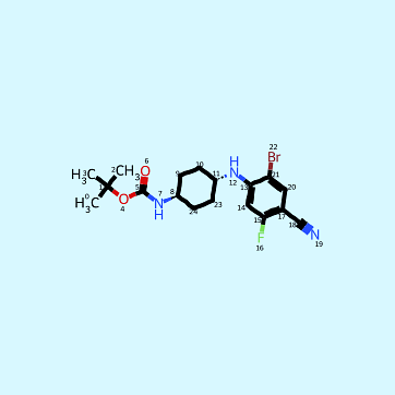 CC(C)(C)OC(=O)N[C@H]1CC[C@H](Nc2cc(F)c(C#N)cc2Br)CC1